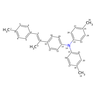 C/C(=C\c1ccc(C)cc1)c1ccc(N(c2ccc(C)cc2)c2ccc(C)cc2)cc1